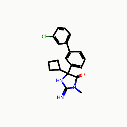 CN1C(=N)NC(c2cccc(-c3cccc(Cl)c3)c2)(C2CCC2)C1=O